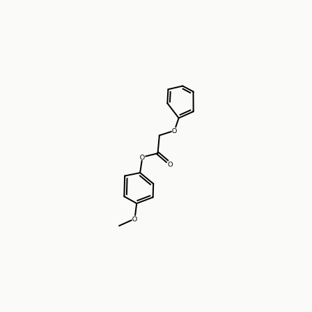 COc1ccc(OC(=O)COc2ccccc2)cc1